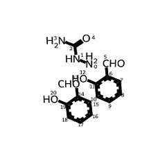 NNC(N)=O.O=Cc1ccccc1O.O=Cc1ccccc1O